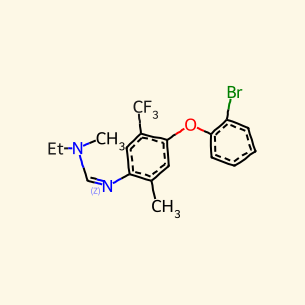 CCN(C)/C=N\c1cc(C(F)(F)F)c(Oc2ccccc2Br)cc1C